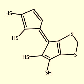 SC1=C(S)C(=C2C(S)=C(S)C3=C2SCS3)C=C1